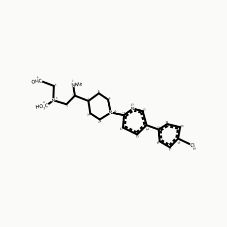 CNC(CN(CC=O)C(=O)O)C1CCN(c2ccc(-c3ccc(Cl)cc3)cn2)CC1